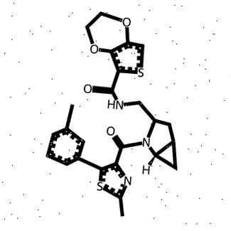 Cc1cccc(-c2sc(C)nc2C(=O)N2C(CNC(=O)c3scc4c3OCCO4)CC3C[C@@H]32)c1